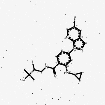 CC(C)(O)C(F)CNC(=O)c1cnc(-n2ncc3cc(F)cnc32)cc1NC1CC1